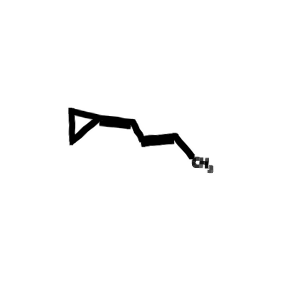 CC=CC=C1CC1